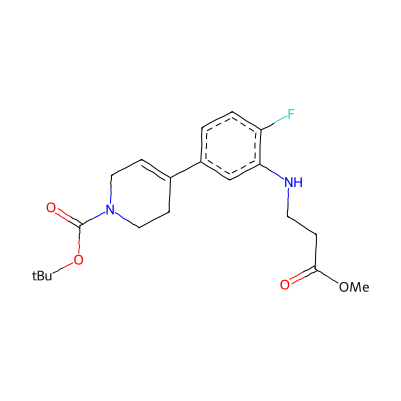 COC(=O)CCNc1cc(C2=CCN(C(=O)OC(C)(C)C)CC2)ccc1F